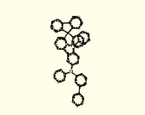 c1ccc(-c2cccc(N(c3ccccc3)c3ccc4c(c3)c3cccc(C5(c6ccccc6)c6ccccc6-c6ccccc65)c3n4-c3ccccc3)c2)cc1